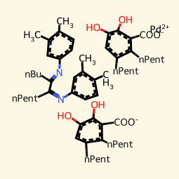 CCCCCC(=Nc1ccc(C)c(C)c1)C(CCCC)=Nc1ccc(C)c(C)c1.CCCCCc1cc(O)c(O)c(C(=O)[O-])c1CCCCC.CCCCCc1cc(O)c(O)c(C(=O)[O-])c1CCCCC.[Pd+2]